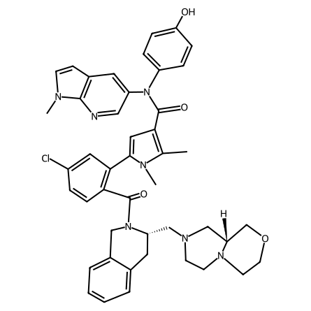 Cc1c(C(=O)N(c2ccc(O)cc2)c2cnc3c(ccn3C)c2)cc(-c2cc(Cl)ccc2C(=O)N2Cc3ccccc3C[C@H]2CN2CCN3CCOC[C@H]3C2)n1C